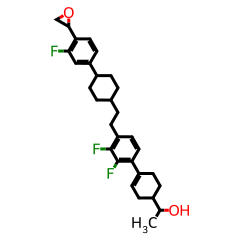 CC(O)C1CC=C(c2ccc(CCC3CCC(c4ccc(C5CO5)c(F)c4)CC3)c(F)c2F)CC1